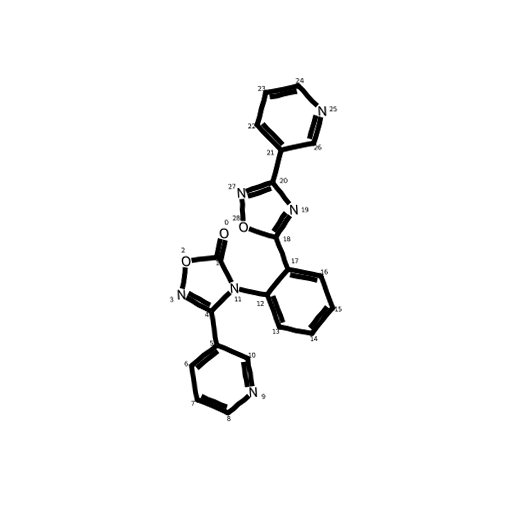 O=c1onc(-c2cccnc2)n1-c1ccccc1-c1nc(-c2cccnc2)no1